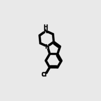 ClC1=CC=C2C=C3CNCCN3C2C1